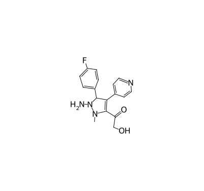 CN1C(C(=O)CO)=C(c2ccncc2)C(c2ccc(F)cc2)N1N